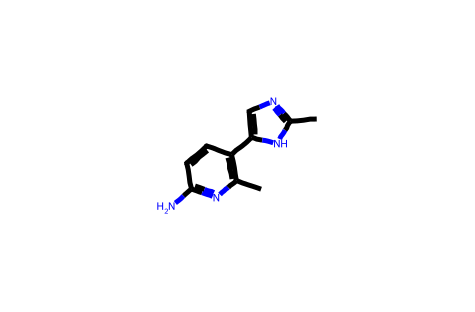 Cc1ncc(-c2ccc(N)nc2C)[nH]1